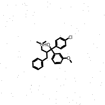 COc1cccc(C(O)(c2ccc(Cl)cc2)C(Cc2ccccc2)CN(C)C)c1